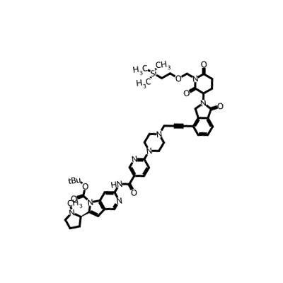 CN1CCC[C@@H]1c1cc2cnc(NC(=O)c3ccc(N4CCN(CC#Cc5cccc6c5CN(C5CCC(=O)N(COCC[Si](C)(C)C)C5=O)C6=O)CC4)nc3)cc2n1C(=O)OC(C)(C)C